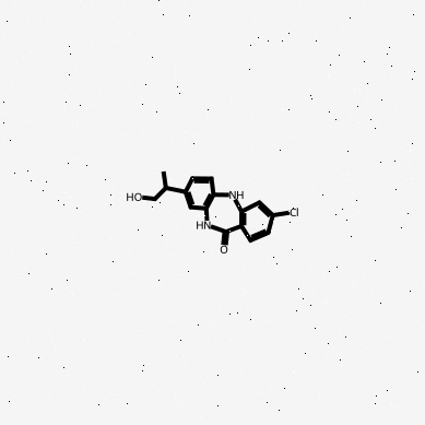 CC(CO)c1ccc2c(c1)NC(=O)c1ccc(Cl)cc1N2